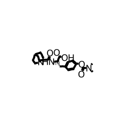 CN(C)C(=O)Oc1ccc(C[C@H](NC(=O)C2CC3CCN2CC3)C(=O)O)cc1